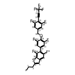 CCCc1cc2cc(F)c(-c3cc(F)c(OCc4cc(F)c(C#CC(F)(F)F)c(F)c4)c(F)c3)c(F)c2s1